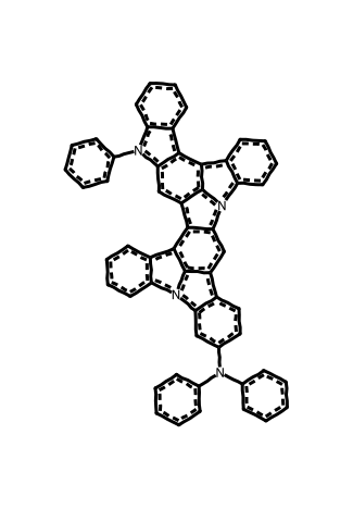 c1ccc(N(c2ccccc2)c2ccc3c4cc5c(c6cc7c(c8ccccc8n7-c7ccccc7)c7c8ccccc8n5c67)c5c6ccccc6n(c3c2)c45)cc1